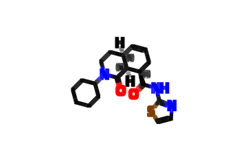 O=C(Nc1nccs1)[C@@H]1CC=C[C@@H]2CCN(C3CCCCC3)C(=O)[C@@H]21